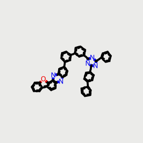 c1ccc(-c2ccc(-c3nc(-c4ccccc4)nc(-c4cccc(-c5cccc(-c6ccc7nc8ccc9c%10ccccc%10oc9c8nc7c6)c5)c4)n3)cc2)cc1